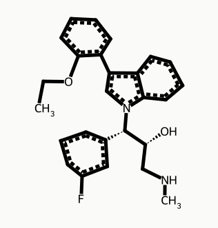 CCOc1ccccc1-c1cn([C@@H](c2cccc(F)c2)[C@H](O)CNC)c2ccccc12